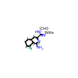 CN/N=C(\NC=O)c1cc2cccc(F)c2c(N)n1